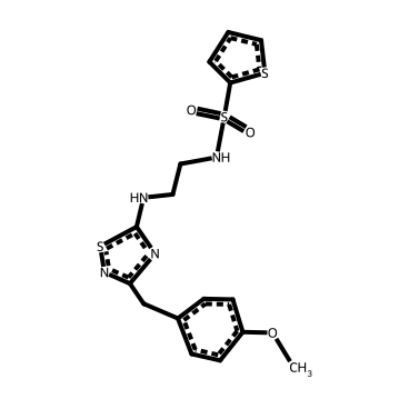 COc1ccc(Cc2nsc(NCCNS(=O)(=O)c3cccs3)n2)cc1